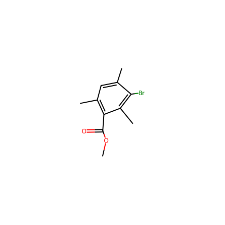 COC(=O)c1c(C)cc(C)c(Br)c1C